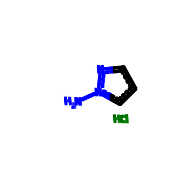 Cl.Nn1cccn1